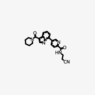 N#CCCNC(=O)c1ccc(-c2cccc3c(C(=O)N4CCCCC4)cnn23)cn1